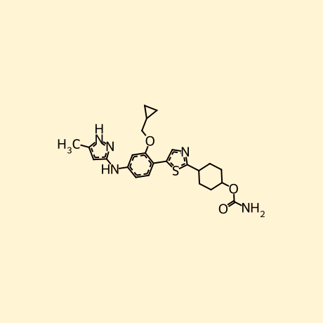 Cc1cc(Nc2ccc(-c3cnc(C4CCC(OC(N)=O)CC4)s3)c(OCC3CC3)c2)n[nH]1